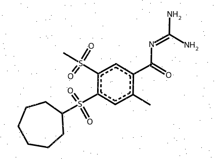 Cc1cc(S(=O)(=O)C2CCCCCC2)c(S(C)(=O)=O)cc1C(=O)N=C(N)N